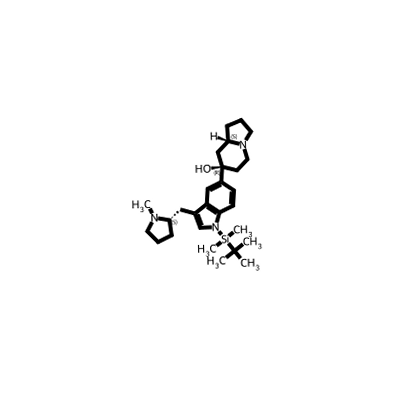 CN1CCC[C@H]1Cc1cn([Si](C)(C)C(C)(C)C)c2ccc([C@@]3(O)CCN4CCC[C@H]4C3)cc12